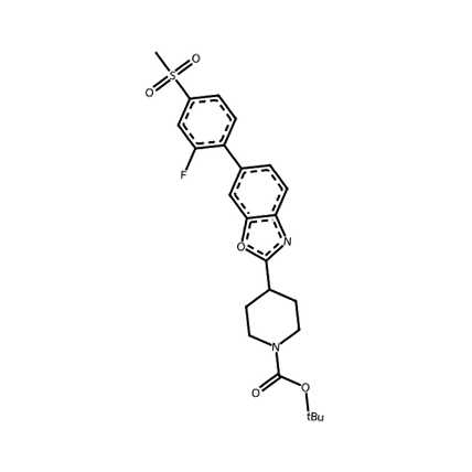 CC(C)(C)OC(=O)N1CCC(c2nc3ccc(-c4ccc(S(C)(=O)=O)cc4F)cc3o2)CC1